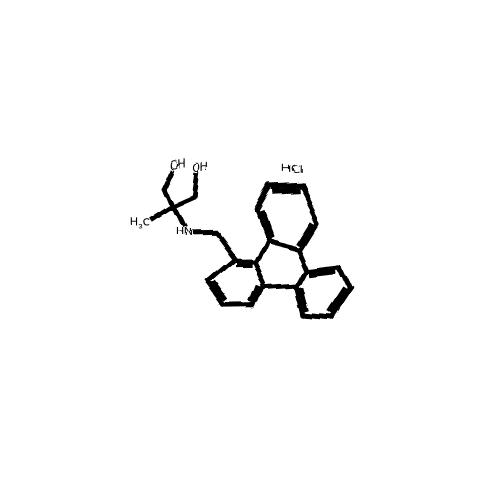 CC(CO)(CO)NCc1cccc2c3ccccc3c3ccccc3c12.Cl